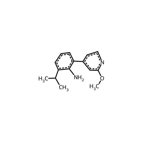 COc1cc(-c2cccc(C(C)C)c2N)ccn1